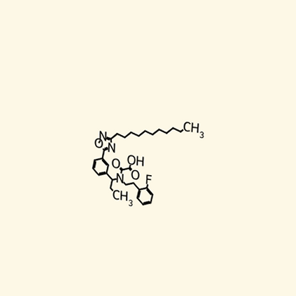 CCCCCCCCCCCc1noc(-c2cccc(C(CC)N(CCc3ccccc3F)C(=O)C(=O)O)c2)n1